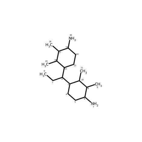 CCC(C1CCC(N)C(C)C1C)C1CCC(N)C(C)C1C